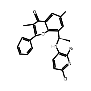 Cc1cc([C@@H](C)Nc2ccc(Cl)nc2Br)c2oc(-c3ccccc3)c(C)c(=O)c2c1